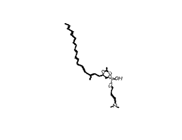 CCCCCCCCCCCCCCCC(C)CCC(COP(O)OCCCN(C)C)OC(C)=O